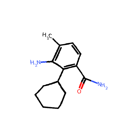 Cc1ccc(C(N)=O)c(C2CCCCC2)c1N